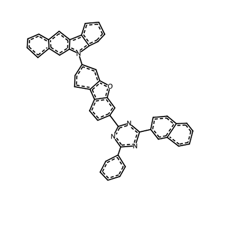 c1ccc(-c2nc(-c3ccc4ccccc4c3)nc(-c3ccc4c(c3)oc3cc(-n5c6ccccc6c6cc7ccccc7cc65)ccc34)n2)cc1